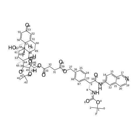 CC(C)(C)OC(=O)NC[C@@H](C(=O)Nc1ccc2cnccc2c1)c1ccc(COC(=O)CCC(=O)OCC(=O)[C@@]23OC(C)(C)O[C@@H]2C[C@H]2[C@@H]4CCC5=CC(=O)C=C[C@]5(C)[C@@]4(F)[C@@H](O)C[C@@]23C)cc1